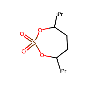 CC(C)C1CCC(C(C)C)OS(=O)(=O)O1